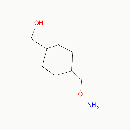 NOCC1CCC(CO)CC1